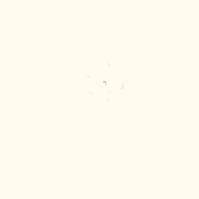 c1ccc(-c2ccc(-n3c4ccccc4c4ccc5c6ccccc6n(-c6nc(-c7ccccc7)nc(-c7ccc8c(c7)oc7ccccc78)n6)c5c43)cc2)cc1